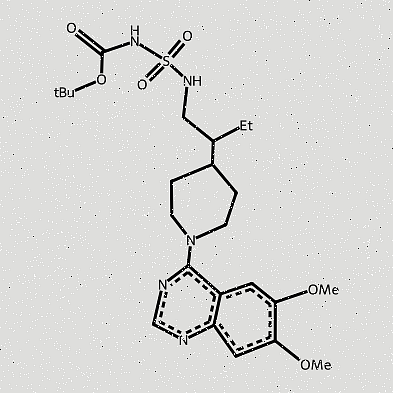 CCC(CNS(=O)(=O)NC(=O)OC(C)(C)C)C1CCN(c2ncnc3cc(OC)c(OC)cc23)CC1